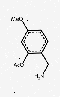 COc1ccc(CN)c(OC(C)=O)c1